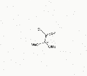 C=C(Cl)[SiH](OC)OC